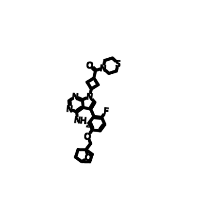 Nc1ncnc2c1c(-c1cc(OCC34CCC(CC3)O4)ccc1F)cn2C1CC(C(=O)N2CCSCC2)C1